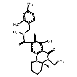 CCN1C(=O)c2c(O)c(=O)c(C(=O)N(C)Cc3ccc(P)nc3C)cn2N2CCCC[C@@H]12